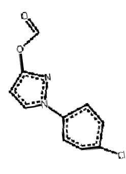 O=COc1ccn(-c2ccc(Cl)cc2)n1